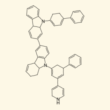 C1=CC2c3cc(C4=CC5C(C=C4)c4ccccc4N5C4=CC=C(c5ccccc5)CC4)ccc3N(C3=CC(C4=CCNC=C4)=CC(c4ccccc4)C3)C2CC1